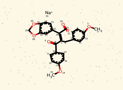 COc1ccc(CC(C(=O)c2ccc(OC)cc2)=C(C(=O)[O-])c2ccc3c(c2)OCO3)cc1.[Na+]